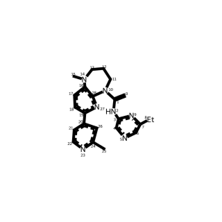 C=C(Nc1cncc(CC)n1)N1CCCN(C)c2ccc(-c3ccnc(C)c3)nc21